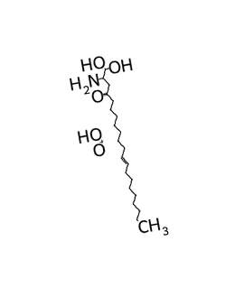 CCCCCCCCC=CCCCCCCCC(=O)CC(N)C(O)O.O=CO